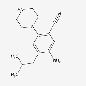 CC(C)Cc1cc(N2CCNCC2)c(C#N)cc1N